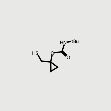 CC(C)(C)NC(=O)OC1(CS)CC1